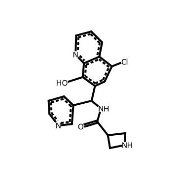 O=C(NC(c1cccnc1)c1cc(Cl)c2cccnc2c1O)C1CNC1